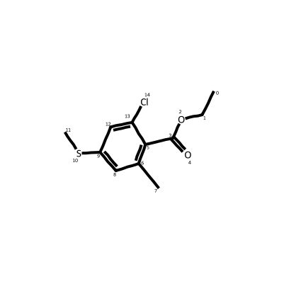 CCOC(=O)c1c(C)cc(SC)cc1Cl